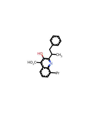 CC(C)c1cccc2c(C(=O)O)c(O)c(C(C)Cc3ccccc3)nc12